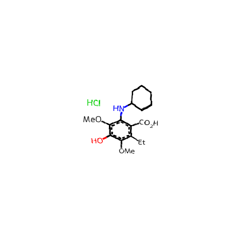 CCc1c(OC)c(O)c(OC)c(NC2CCCCC2)c1C(=O)O.Cl